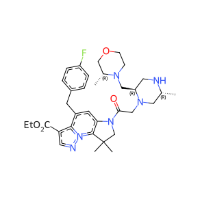 CCOC(=O)c1cnn2c3c(cc(Cc4ccc(F)cc4)c12)N(C(=O)CN1C[C@@H](C)NC[C@@H]1CN1CCOC[C@H]1C)CC3(C)C